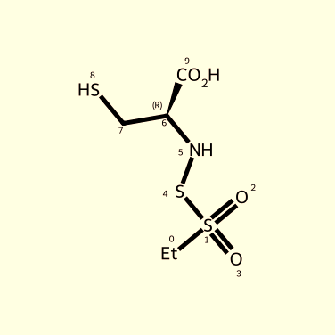 CCS(=O)(=O)SN[C@@H](CS)C(=O)O